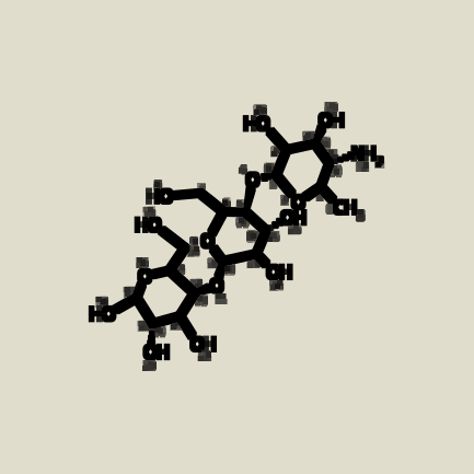 CC1O[C@H](O[C@@H]2C(CO)O[C@H](O[C@@H]3C(CO)OC(O)[C@@H](O)C3O)C(O)[C@H]2O)C(O)[C@@H](O)[C@@H]1N